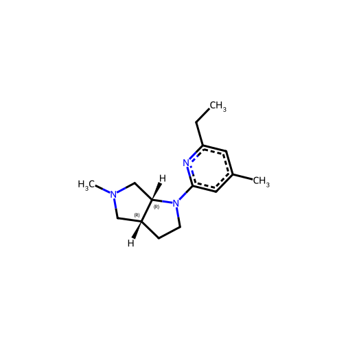 CCc1cc(C)cc(N2CC[C@@H]3CN(C)C[C@@H]32)n1